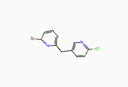 Clc1ccc(Cc2cccc(Br)n2)cn1